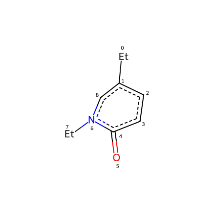 CCc1ccc(=O)n(CC)c1